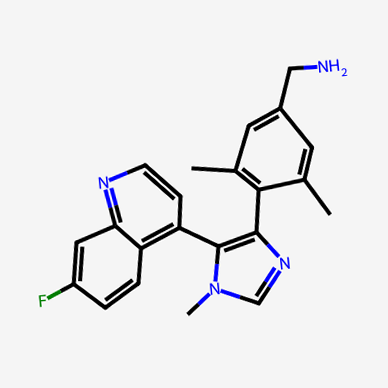 Cc1cc(CN)cc(C)c1-c1ncn(C)c1-c1ccnc2cc(F)ccc12